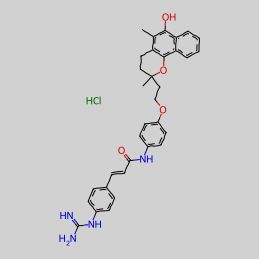 Cc1c2c(c3ccccc3c1O)OC(C)(CCOc1ccc(NC(=O)C=Cc3ccc(NC(=N)N)cc3)cc1)CC2.Cl